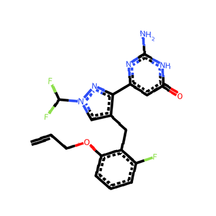 C=CCOc1cccc(F)c1Cc1cn(C(F)F)nc1-c1cc(=O)[nH]c(N)n1